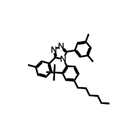 CCCCCCc1ccc(-n2c(-c3cccc(C)c3)nnc2-c2cc(C)cc(C)c2)c(C(C)(C)C)c1